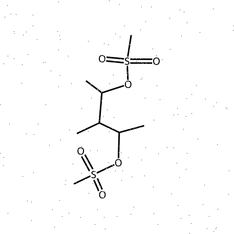 CC(OS(C)(=O)=O)C(C)C(C)OS(C)(=O)=O